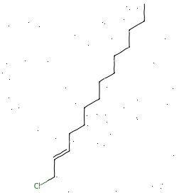 CCCCCCCCCCCC=C[CH]Cl